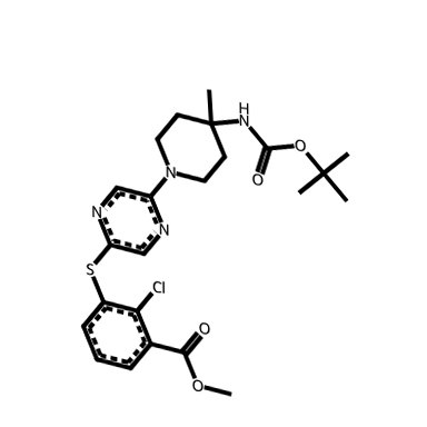 COC(=O)c1cccc(Sc2cnc(N3CCC(C)(NC(=O)OC(C)(C)C)CC3)cn2)c1Cl